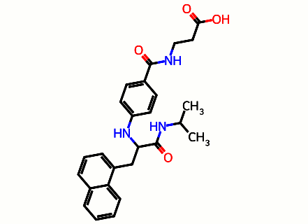 CC(C)NC(=O)C(Cc1cccc2ccccc12)Nc1ccc(C(=O)NCCC(=O)O)cc1